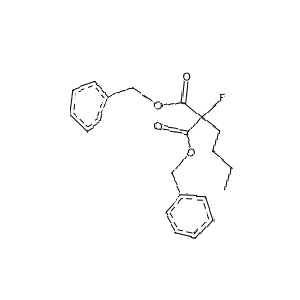 CCCCC(F)(C(=O)OCc1ccccc1)C(=O)OCc1ccccc1